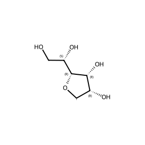 OC[C@H](O)[C@H]1O[CH][C@@H](O)[C@H]1O